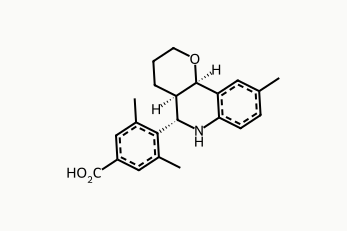 Cc1ccc2c(c1)[C@@H]1OCCC[C@@H]1[C@@H](c1c(C)cc(C(=O)O)cc1C)N2